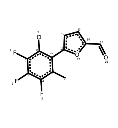 Cc1c(F)c(F)c(F)c(Cl)c1-c1ccc(C=O)o1